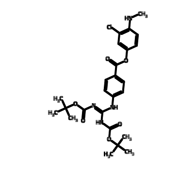 CNc1ccc(OC(=O)c2ccc(NC(=NC(=O)OC(C)(C)C)NC(=O)OC(C)(C)C)cc2)cc1Cl